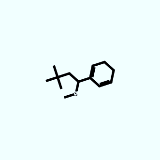 CSC(CC(C)(C)C)C1=CCCC=C1